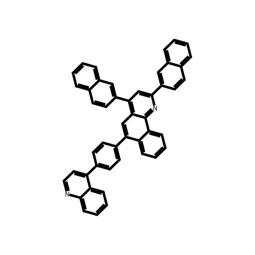 c1ccc2cc(-c3cc(-c4ccc5ccccc5c4)c4cc(-c5ccc(-c6ccnc7ccccc67)cc5)c5ccccc5c4n3)ccc2c1